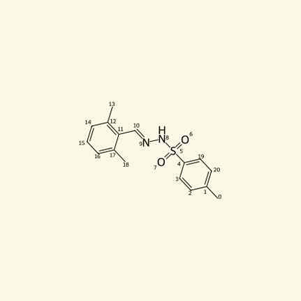 Cc1ccc(S(=O)(=O)NN=Cc2c(C)cccc2C)cc1